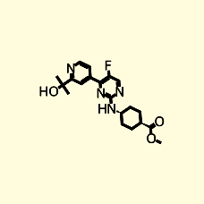 COC(=O)[C@H]1CC[C@H](Nc2ncc(F)c(-c3ccnc(C(C)(C)O)c3)n2)CC1